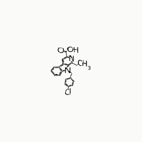 CCc1nc(C(=O)O)cc2c3ccccc3n(Cc3ccc(Cl)cc3)c12